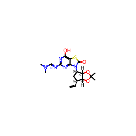 C=C[C@H]1C[C@@H](n2c(=O)sc3c(O)nc(/N=C/N(C)C)nc32)[C@@H]2OC(C)(C)O[C@@H]21